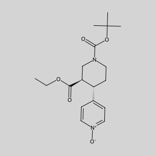 CCOC(=O)[C@H]1CN(C(=O)OC(C)(C)C)CC[C@@H]1c1cc[n+]([O-])cc1